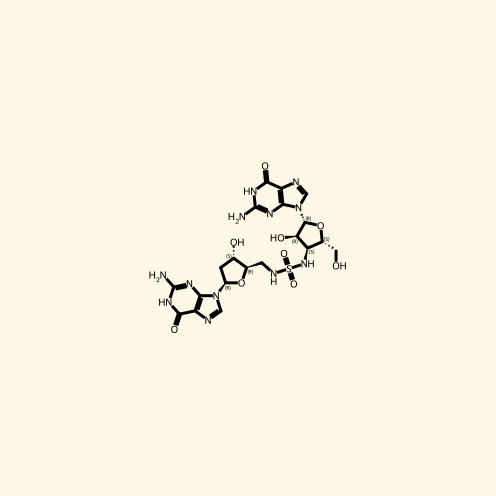 Nc1nc2c(ncn2[C@@H]2O[C@H](CO)[C@@H](NS(=O)(=O)NC[C@H]3O[C@@H](n4cnc5c(=O)[nH]c(N)nc54)C[C@@H]3O)[C@H]2O)c(=O)[nH]1